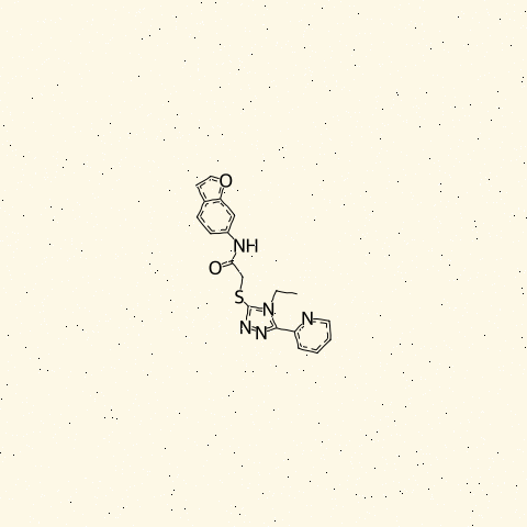 CCn1c(SCC(=O)Nc2ccc3ccoc3c2)nnc1-c1ccccn1